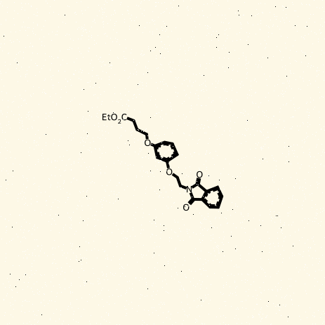 CCOC(=O)CCCOc1cccc(OCCN2C(=O)c3ccccc3C2=O)c1